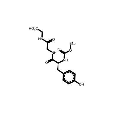 CC(C)(C)OC(=O)N[C@@H](Cc1ccc(O)cc1)C(=O)NCC(=O)NCC(=O)O